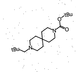 CC(C)(C)CN1CCC2(CC1)CCN(C(=O)OC(C)(C)C)CC2